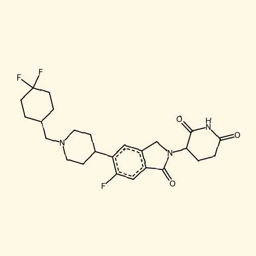 O=C1CCC(N2Cc3cc(C4CCN(CC5CCC(F)(F)CC5)CC4)c(F)cc3C2=O)C(=O)N1